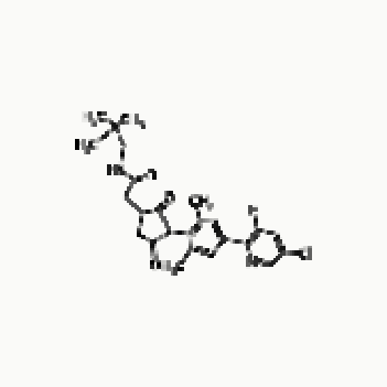 Cc1cc(-c2ncc(Cl)cc2F)cc(C)c1C1C(=O)CC(CC(=O)NCC(C)(C)C)C1=O